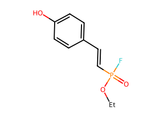 CCOP(=O)(F)/C=C/c1ccc(O)cc1